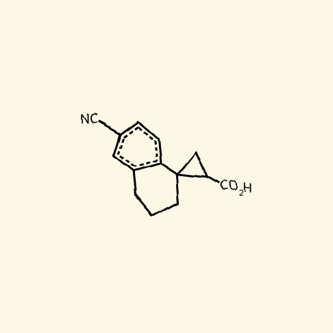 N#Cc1ccc2c(c1)CCCC21CC1C(=O)O